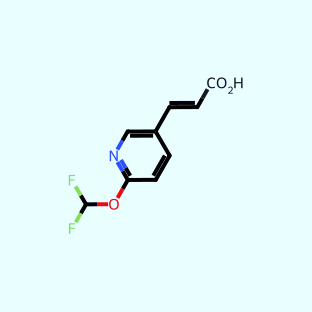 O=C(O)/C=C/c1ccc(OC(F)F)nc1